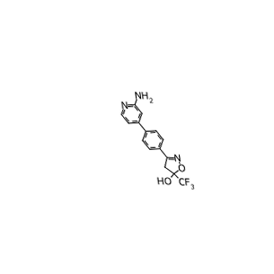 Nc1cc(-c2ccc(C3=NOC(O)(C(F)(F)F)C3)cc2)ccn1